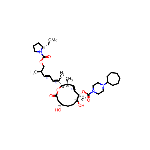 COC[C@H]1CCCN1C(=O)OCC(C)/C=C/C=C(\C)[C@H]1OC(=O)C[C@@H](O)CC[C@](C)(O)[C@@H](OC(=O)N2CCN(C3CCCCCC3)CC2)/C=C/[C@@H]1C